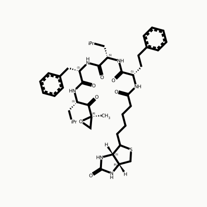 CC(C)C[C@H](NC(=O)[C@H](CCc1ccccc1)NC(=O)CCCCC1SC[C@@H]2NC(=O)N[C@H]12)C(=O)N[C@@H](Cc1ccccc1)C(=O)N[C@@H](CC(C)C)C(=O)[C@@]1(C)CO1